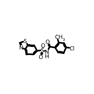 Cc1cc(Cl)ccc1C(=O)NS(=O)(=O)c1ccc2ncsc2c1